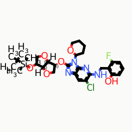 CC(C)(C)[Si](C)(C)OC1CO[C@H]2[C@@H]1OC[C@H]2Oc1nc2cc(Cl)c(NCc3c(O)cccc3F)nc2n1C1CCCCO1